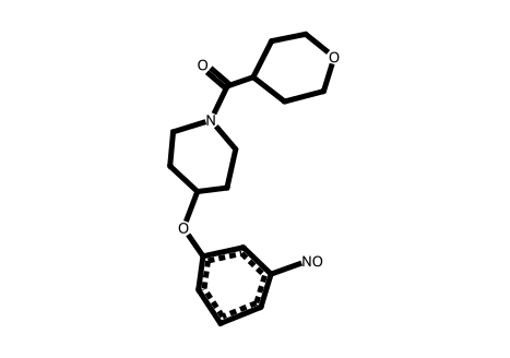 O=Nc1cccc(OC2CCN(C(=O)C3CCOCC3)CC2)c1